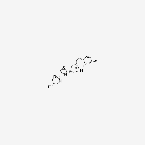 FC1=CN2C[C@H]3CC[C@H](c4nc(-c5ncc(Cl)cn5)cs4)CC3=CC=C2C=C1